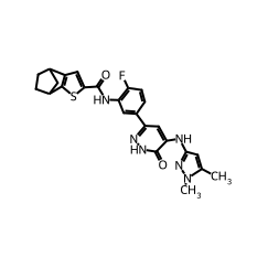 Cc1cc(Nc2cc(-c3ccc(F)c(NC(=O)c4cc5c(s4)C4CCC5C4)c3)n[nH]c2=O)nn1C